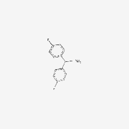 CC(c1ccc(F)cc1)c1ccc(F)cc1.N